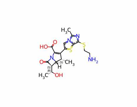 Cc1nc(SCCN)c2sc(C3=C(C(=O)O)N4C(=O)[C@H]([C@@H](C)O)[C@H]4[C@H]3C)cn12